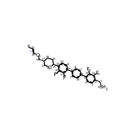 BCc1ccc(-c2ccc(-c3ccc(C4CCC(CO/C=C/C)CO4)c(F)c3F)cc2)c(F)c1F